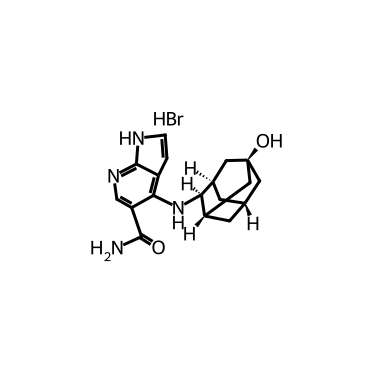 Br.NC(=O)c1cnc2[nH]ccc2c1N[C@H]1[C@@H]2C[C@H]3C[C@H]1C[C@@](O)(C3)C2